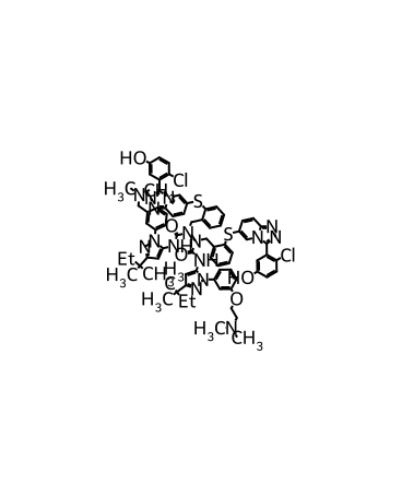 CCC(C)(C)c1cc(NC(=O)N(Cc2ccccc2Sc2ccc3nnc(-c4cc(O)ccc4Cl)n3c2)N(Cc2ccccc2Sc2ccc3nnc(-c4cc(O)ccc4Cl)n3c2)C(=O)Nc2cc(C(C)(C)CC)nn2-c2cccc(OCCN(C)C)c2)n(-c2cccc(CN(C)C)c2)n1